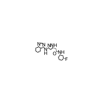 O=C(Cc1cc(Nc2ncnc3ccccc23)n[nH]1)Nc1cccc(F)c1